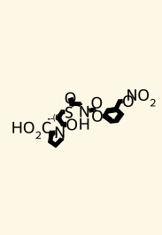 C[C@H](CSC(=O)CNC(=O)Oc1cccc(CO[N+](=O)[O-])c1)C(=O)N1CCC[C@H]1C(=O)O